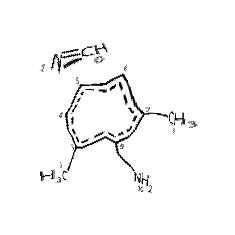 C#N.Cc1cccc(C)c1N